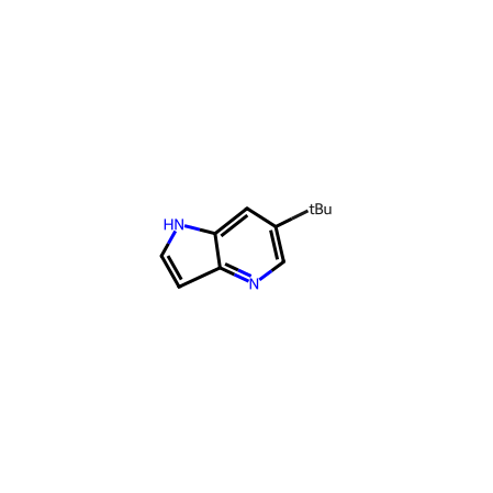 CC(C)(C)c1cnc2cc[nH]c2c1